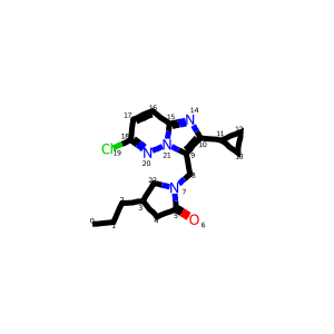 CCCC1CC(=O)N(Cc2c(C3CC3)nc3ccc(Cl)nn23)C1